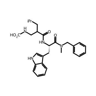 CC(C)CC(CNC(=O)O)C(=O)N[C@@H](Cc1c[nH]c2ccccc12)C(=O)N(C)Cc1ccccc1